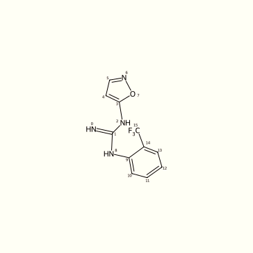 N=C(Nc1ccno1)Nc1ccccc1C(F)(F)F